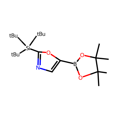 CC1(C)OB(c2cnc([Si](C(C)(C)C)(C(C)(C)C)C(C)(C)C)o2)OC1(C)C